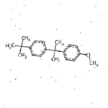 COc1ccc(C(C)(C)c2ccc(C(C)(C)C)cc2)cc1